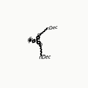 CCCCCCCCCCCCCCCCCCOc1ccc([S+](c2ccccc2)c2ccc(OCCCCCCCCCCCCCCCCCC)cc2)cc1.F[B-](F)(F)F